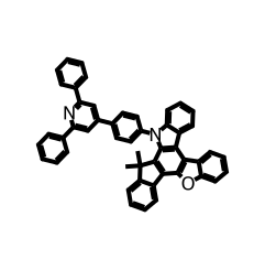 CC1(C)c2ccccc2-c2c1c1c(c3ccccc3n1-c1ccc(-c3cc(-c4ccccc4)nc(-c4ccccc4)c3)cc1)c1c2oc2ccccc21